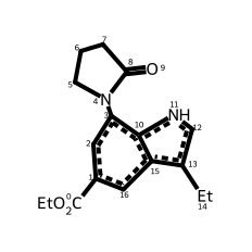 CCOC(=O)c1cc(N2CCCC2=O)c2[nH]cc(CC)c2c1